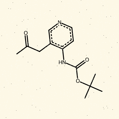 CC(=O)Cc1cnccc1NC(=O)OC(C)(C)C